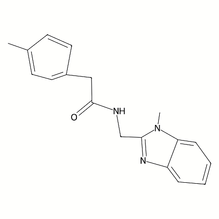 Cc1ccc(CC(=O)NCc2nc3ccccc3n2C)cc1